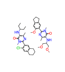 CCC(CC)Nc1c(C)nc(-c2cc3c(cc2Cl)CCCC3)n(C)c1=O.COCC(COC)Nc1c(C)nc(-c2cc3c(cc2OC)CCC3)n(C)c1=O